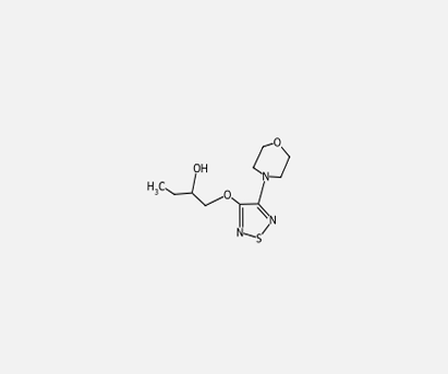 CCC(O)COc1nsnc1N1CCOCC1